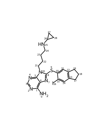 Nc1ncnc2c1nc(Sc1cc3c(cc1I)CCC3)n2CCCCNC1CC1